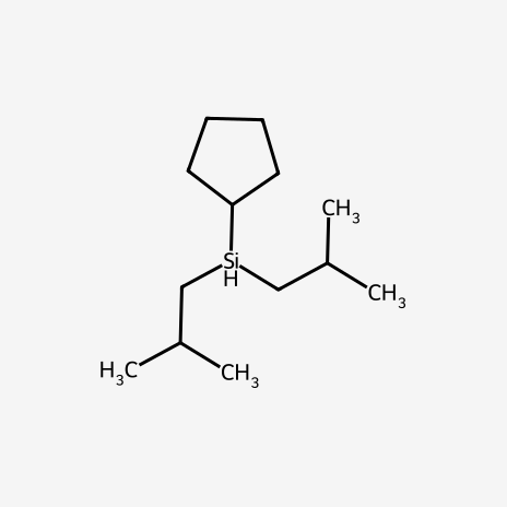 CC(C)C[SiH](CC(C)C)C1CCCC1